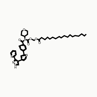 CCCCCCCCCCCCCCCCCC(=O)OCOC(=O)N(C(=O)c1ccc(-c2cc(-c3c[nH]nc3-c3ccccn3)ccn2)cc1)C1CCOCC1